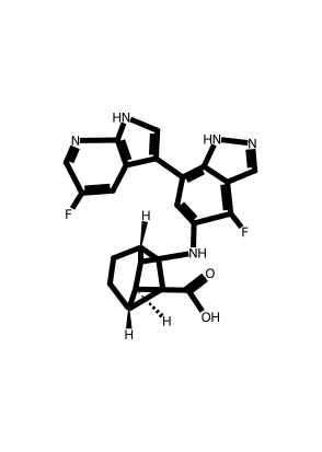 O=C(O)[C@@H]1C(Nc2cc(-c3c[nH]c4ncc(F)cc34)c3[nH]ncc3c2F)[C@H]2CC[C@@H]1CC2